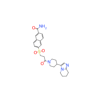 NC(=O)c1ccc2cc(S(=O)(=O)CCC(=O)N3CCC(c4cnc5n4CCCC5)CC3)ccc2c1